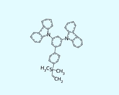 C=C[Si](C)(C)c1ccc(-c2cc(-n3c4ccccc4c4ccccc43)cc(-n3c4ccccc4c4ccccc43)c2)cc1